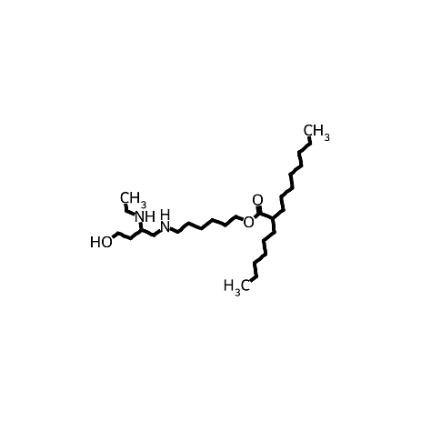 CCCCCCCCC(CCCCCC)C(=O)OCCCCCCNCC(CCO)NCC